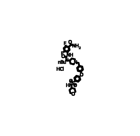 CCCCN(C(=O)Nc1cc(C(N)=O)c(F)cc1F)C1CCN(Cc2ccc(Oc3ccc(S(=O)(=O)NC4CCOCC4)cc3)cc2)CC1.Cl